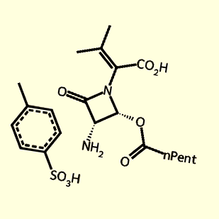 CCCCCC(=O)O[C@@H]1[C@H](N)C(=O)N1C(C(=O)O)=C(C)C.Cc1ccc(S(=O)(=O)O)cc1